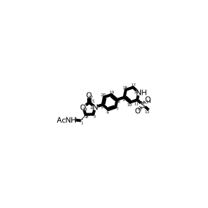 CC(=O)NC[C@H]1CN(c2ccc(C3=CC(S(C)(=O)=O)NCC3)cc2)C(=O)O1